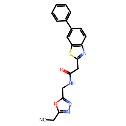 N#CCc1nnc(CNC(=O)Cc2nc3ccc(-c4ccccc4)cc3s2)o1